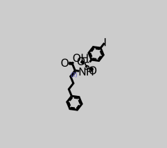 O=C(O)/C(=C/CCc1ccccc1)NS(=O)(=O)c1ccc(I)cc1